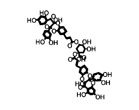 O=C(/C=C/c1ccc2c(c1)OC1(c3ccc(O)c(O)c3)Oc3cc(O)cc(O)c3C(=O)C1(O)O2)O[C@@H]1C[C@@](OC(=O)/C=C/c2ccc3c(c2)OC2(O)C(=O)c4c(O)cc(O)cc4OC2(c2ccc(O)c(O)c2)O3)(C(=O)O)C[C@@H](O)[C@@H]1O